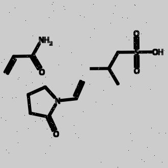 C=CC(N)=O.C=CN1CCCC1=O.CC(C)CS(=O)(=O)O